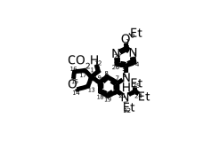 CCOc1ncc(Nc2cc(C3(CC(=O)O)CCOCC3)ccc2N(CC)C(CC)CC)cn1